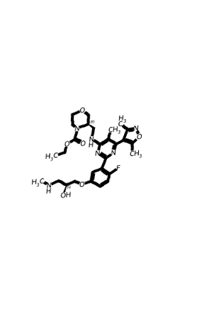 CCOC(=O)N1CCOC[C@H]1CNc1nc(-c2cc(OC[C@@H](O)CNC)ccc2F)nc(-c2c(C)noc2C)c1C